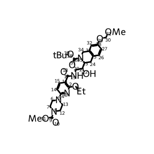 CCOc1nc(N2CCN(C(=O)OC)CC2)ccc1C(=O)NC[C@@H](O)C1Cc2ccc(OCOC)cc2CN1C(=O)OC(C)(C)C